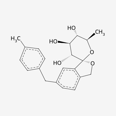 Cc1ccc(Cc2ccc3c(c2)[C@]2(OC3)O[C@H](C)[C@@H](O)[C@H](O)[C@H]2O)cc1